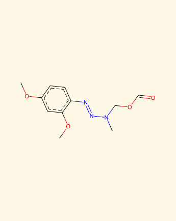 COc1ccc(/N=N/N(C)COC=O)c(OC)c1